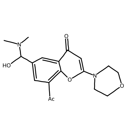 CC(=O)c1cc(C(O)N(C)C)cc2c(=O)cc(N3CCOCC3)oc12